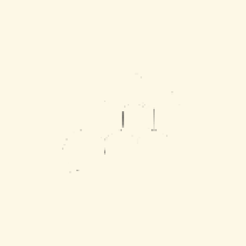 COc1cc(C2OOCCOO2)c(C)c(OC)c1OC